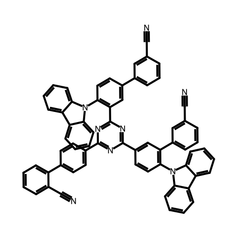 N#Cc1cccc(-c2ccc(-n3c4ccccc4c4ccccc43)c(-c3nc(-c4ccc(-c5ccccc5C#N)cc4)nc(-c4ccc(-n5c6ccccc6c6ccccc65)c(-c5cccc(C#N)c5)c4)n3)c2)c1